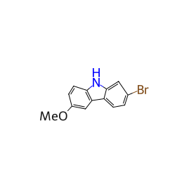 COc1ccc2[nH]c3cc(Br)ccc3c2c1